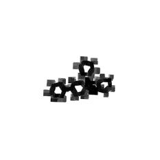 BrC1(N(c2ccccc2)c2ccccc2)C=CC(c2ccccc2)=CC1